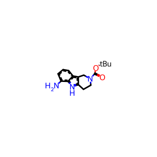 CC(C)(C)OC(=O)N1CCc2[nH]c3c(N)cccc3c2C1